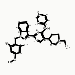 CCOc1cc(F)c(Cn2nc(-c3ncc(C4CCN(CC(F)(F)F)CC4)c(Nc4ccncn4)n3)c3ccccc32)c(F)c1